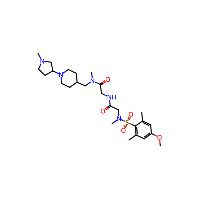 COc1cc(C)c(S(=O)(=O)N(C)CC(=O)NCC(=O)N(C)CC2CCN(C3CCN(C)C3)CC2)c(C)c1